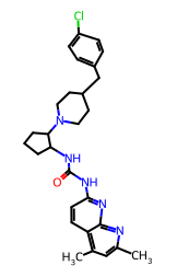 Cc1cc(C)c2ccc(NC(=O)NC3CCCC3N3CCC(Cc4ccc(Cl)cc4)CC3)nc2n1